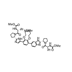 COCCOc1c(-c2ccc3nc([C@@H]4CCCN4C(=O)[C@@H](NC(=O)OC)C(C)C)[nH]c3c2)ccc(-c2cnc([C@@H]3CCCN3C(=O)[C@H](NC(=O)OC)C(C)C)[nH]2)c1OCCOC